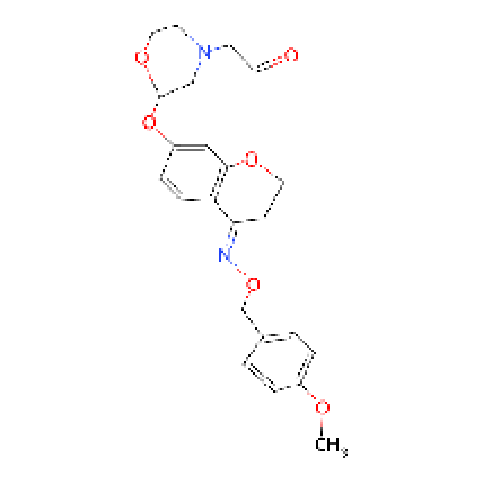 COc1ccc(CON=C2CCOc3cc(OC4CN(CC=O)CCO4)ccc32)cc1